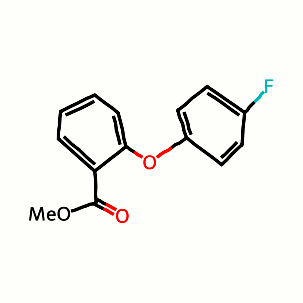 COC(=O)c1ccccc1Oc1ccc(F)cc1